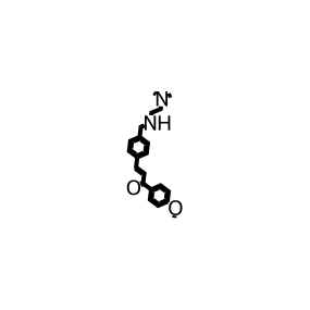 COc1ccc(C(=O)C=Cc2ccc(CNCCN(C)C)cc2)cc1